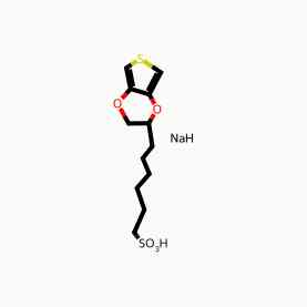 O=S(=O)(O)CCCCCCC1COc2cscc2O1.[NaH]